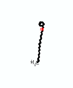 [CH2]CCCCCCCCCCCCCCCCCOCc1ccccc1